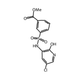 COC(=O)c1cccc(S(=O)(=O)Nc2cc(Cl)cnc2O)c1